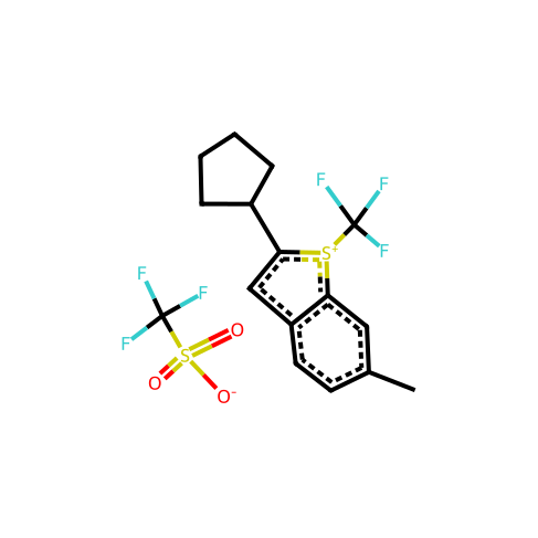 Cc1ccc2cc(C3CCCC3)[s+](C(F)(F)F)c2c1.O=S(=O)([O-])C(F)(F)F